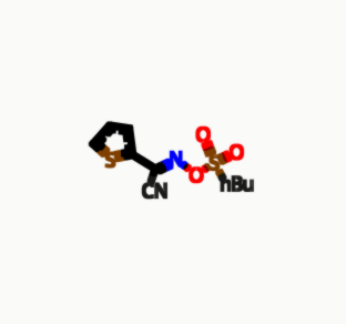 CCCCS(=O)(=O)ON=C(C#N)c1cccs1